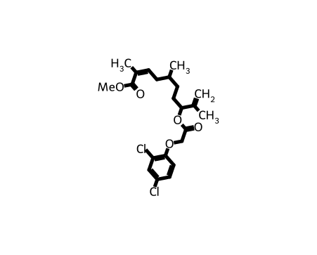 C=C(C)C(CCC(C)CC=C(C)C(=O)OC)OC(=O)COc1ccc(Cl)cc1Cl